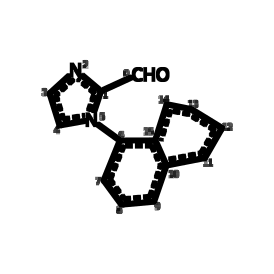 O=Cc1nccn1-c1cccc2ccccc12